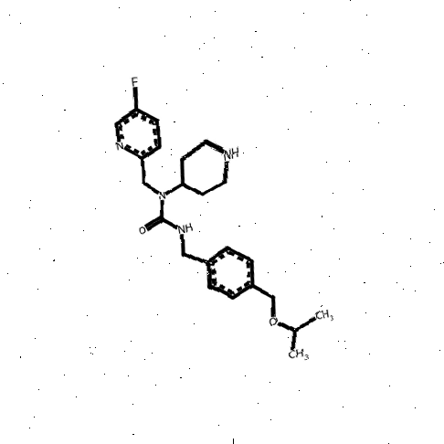 CC(C)OCc1ccc(CNC(=O)N(Cc2ccc(F)cn2)C2CCNCC2)cc1